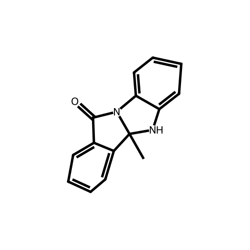 CC12Nc3ccccc3N1C(=O)c1ccccc12